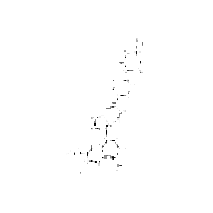 COc1cc2c(-c3cnn4cc(N5CCC(N6CCN(C)CC6)CC5)cnc34)cc[n+](O)c2cc1F